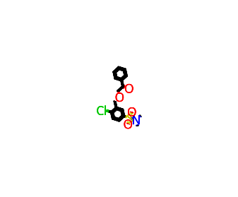 CN(C)S(=O)(=O)c1ccc(Cl)c(COCC(=O)c2ccccc2)c1